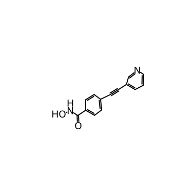 O=C(NO)c1ccc(C#Cc2cccnc2)cc1